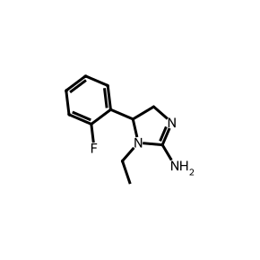 CCN1C(N)=NCC1c1ccccc1F